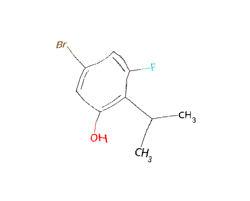 CC(C)c1c(O)cc(Br)cc1F